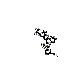 CC1CCN(c2nc(C(C)(C)C)c(/C=C/C(=O)O)cc2C(=O)NS(=O)(=O)c2cccc(N)n2)C1(C)C